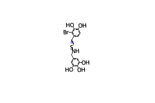 Oc1cc(CNS/C=C/c2ccc(O)c(O)c2Br)cc(O)c1O